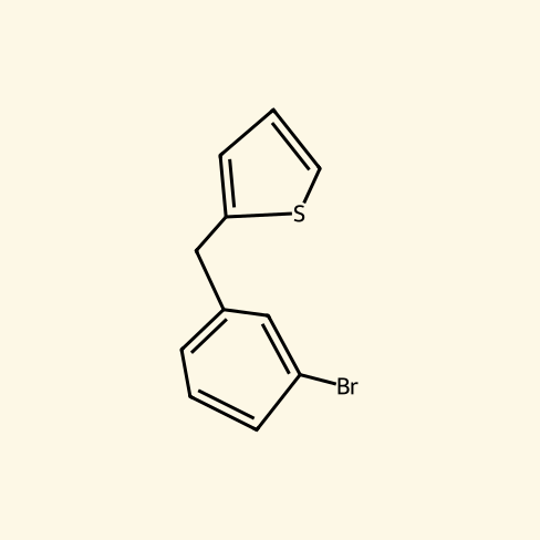 Brc1cccc(Cc2cccs2)c1